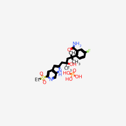 CCS(=O)(=O)c1cc2cc(C[C@](O)(CC(C)(C)c3ccc(F)cc3C(N)=O)C(F)(F)F)[nH]c2cn1.O=P(O)(O)O